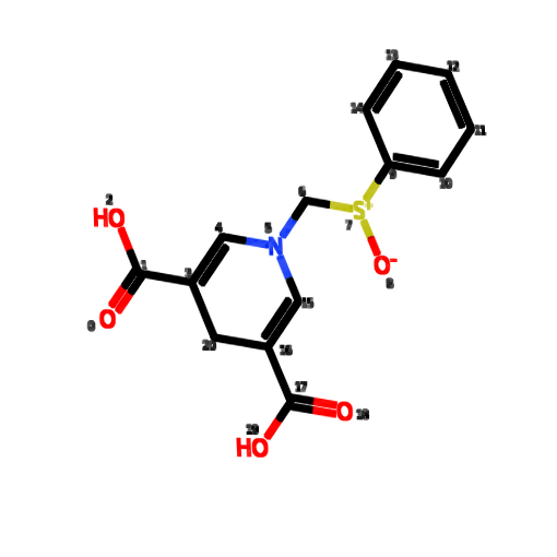 O=C(O)C1=CN(C[S+]([O-])c2ccccc2)C=C(C(=O)O)C1